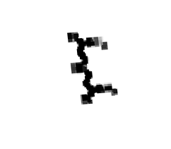 CCC(N)CCNCCC(N)CC